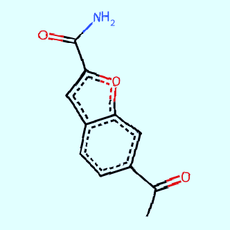 CC(=O)c1ccc2cc(C(N)=O)oc2c1